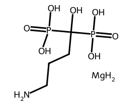 NCCCC(O)(P(=O)(O)O)P(=O)(O)O.[MgH2]